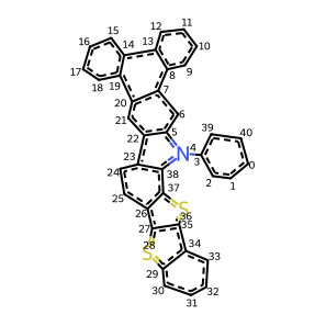 c1ccc(-n2c3cc4c5ccccc5c5ccccc5c4cc3c3ccc4c5sc6ccccc6c5sc4c32)cc1